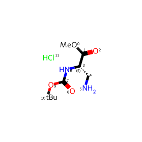 COC(=O)[C@H](CN)NC(=O)OC(C)(C)C.Cl